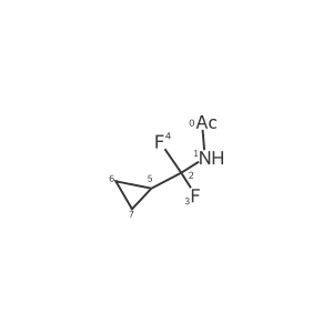 CC(=O)NC(F)(F)C1CC1